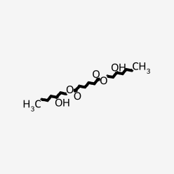 CCCCC(O)CCOC(=O)CCCCC(=O)OCCC(O)CCCC